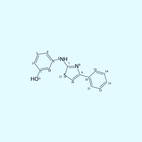 Oc1cccc(Nc2nc(-c3ccccc3)cs2)c1